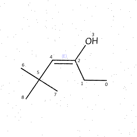 CC/C(O)=C\C(C)(C)C